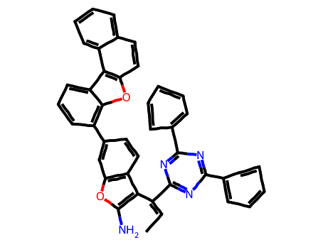 C/C=C(/c1nc(-c2ccccc2)nc(-c2ccccc2)n1)c1c(N)oc2cc(-c3cccc4c3oc3ccc5ccccc5c34)ccc12